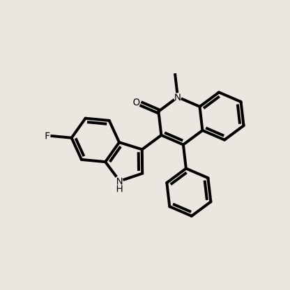 Cn1c(=O)c(-c2c[nH]c3cc(F)ccc23)c(-c2ccccc2)c2ccccc21